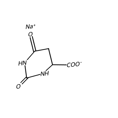 O=C1CC(C(=O)[O-])NC(=O)N1.[Na+]